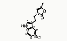 CC1=CN(CCc2c[nH]c3ccc(Cl)cc23)C(C)O1